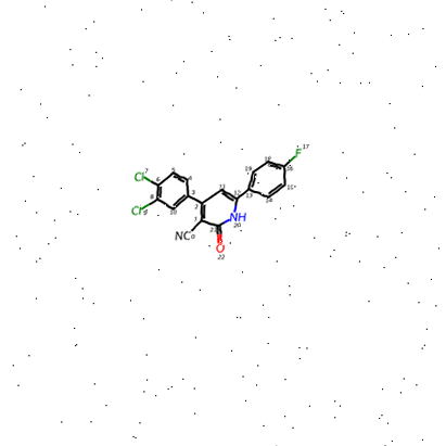 N#Cc1c(-c2ccc(Cl)c(Cl)c2)cc(-c2ccc(F)cc2)[nH]c1=O